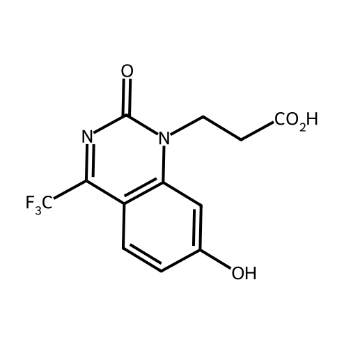 O=C(O)CCn1c(=O)nc(C(F)(F)F)c2ccc(O)cc21